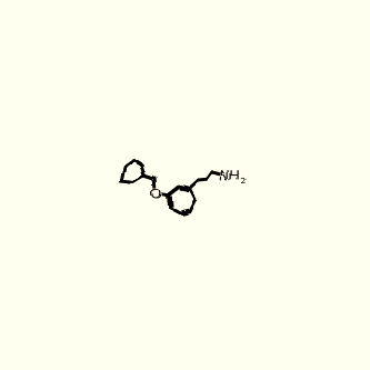 NCCCC1=CC(OCC2CCCCC2)=CC=CC1